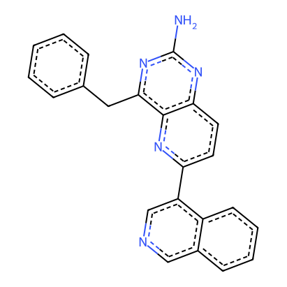 Nc1nc(Cc2ccccc2)c2nc(-c3cncc4ccccc34)ccc2n1